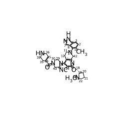 Cc1ccc2[nH]ncc2c1N1CCc2c(nc(OC[C@@H]3CCCN3C)c(C#N)c2N2CCN(C(=O)C3=CCNCC3)CC2)C1